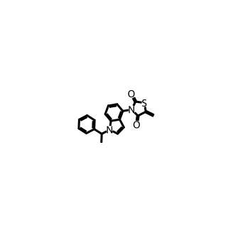 C=C1SC(=O)N(c2cccc3c2ccn3C(C)c2ccccc2)C1=O